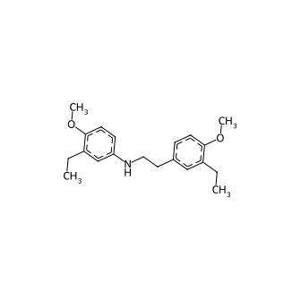 CCc1cc(CCNc2ccc(OC)c(CC)c2)ccc1OC